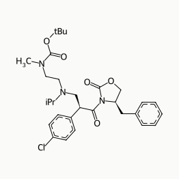 CC(C)N(CCN(C)C(=O)OC(C)(C)C)C[C@@H](C(=O)N1C(=O)OC[C@H]1Cc1ccccc1)c1ccc(Cl)cc1